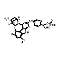 CNc1cc(F)c(F)c2c1[nH]c1nc(Oc3cnc([C@H](C)OP(=O)(O)O)nc3)nc(N3C[C@H]4C[C@@H]3C[C@H]4N)c12